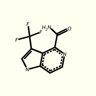 NC(=O)c1nccc2c1C(C(F)(F)F)=C[N]2